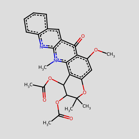 COc1cc2c(c3c1c(=O)c1cc4ccccc4nc1n3C)C(OC(C)=O)C(OC(C)=O)C(C)(C)O2